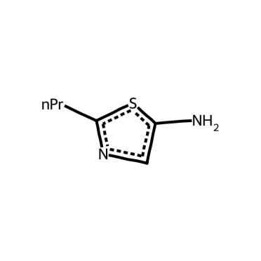 CCCc1ncc(N)s1